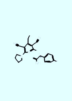 CCc1c(C#N)c(S[C@@H](C(N)=O)c2ccc(F)cc2)nc(N2CCCC2)c1C#N